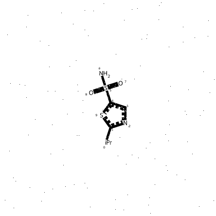 CC(C)c1ncc(S(N)(=O)=O)s1